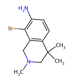 CN1Cc2c(ccc(N)c2Br)C(C)(C)C1